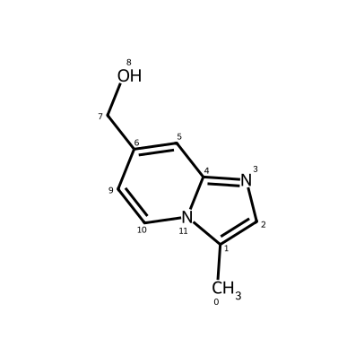 Cc1cnc2cc(CO)ccn12